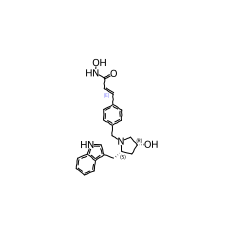 O=C(/C=C/c1ccc(CN2C[C@H](O)C[C@@H]2Cc2c[nH]c3ccccc23)cc1)NO